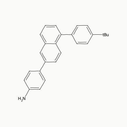 CC(C)(C)c1ccc(-c2cccc3cc(-c4ccc(N)cc4)ccc23)cc1